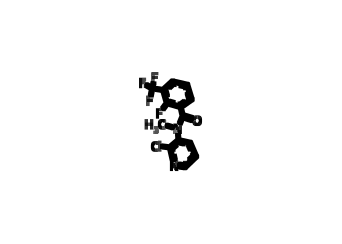 CN(C(=O)c1cccc(C(F)(F)F)c1F)c1cccnc1Cl